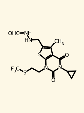 Cc1c(CNNC=O)sc2c1c(=O)n(C1CC1)c(=O)n2CCSC(F)(F)F